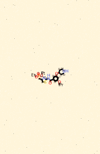 CCOP(=O)(CC1CSC(NC(=O)c2cc(OC(C)C)cc(OC3CCNCC3)c2)=N1)OCC